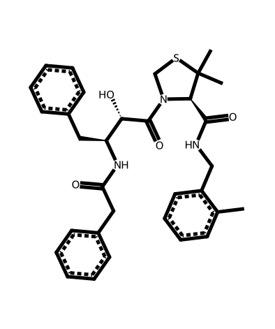 Cc1ccccc1CNC(=O)[C@H]1N(C(=O)[C@@H](O)[C@H](Cc2ccccc2)NC(=O)Cc2ccccc2)CSC1(C)C